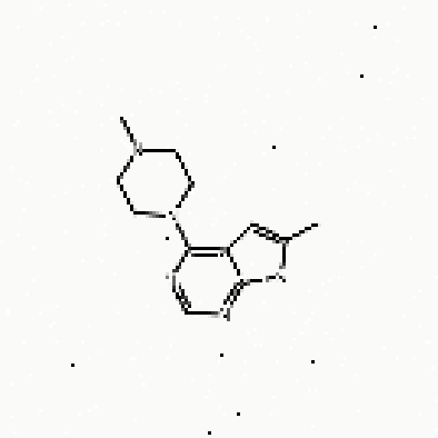 Cc1cc2c(N3CCN(C)CC3)ncnc2s1